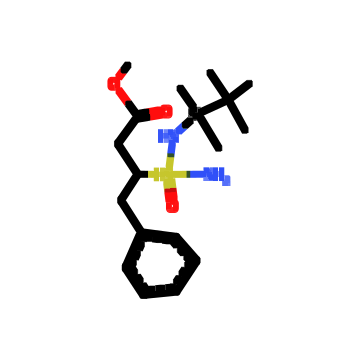 COC(=O)CC(Cc1ccccc1)[SH](N)(=O)N[Si](C)(C)C(C)(C)C